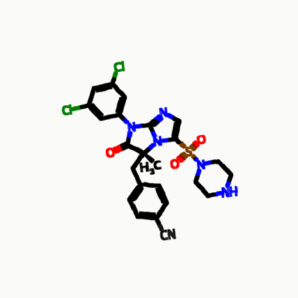 C[C@@]1(Cc2ccc(C#N)cc2)C(=O)N(c2cc(Cl)cc(Cl)c2)c2ncc(S(=O)(=O)N3CCNCC3)n21